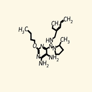 C=C/C=C(\CC)CNN(c1nc(OCCCC)nc(N)c1N)N1CCCC1C